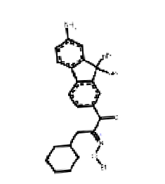 CCCC1(CCC)c2cc(N)ccc2-c2ccc(C(=O)/C(CC3CCCCC3)=N/OCC)cc21